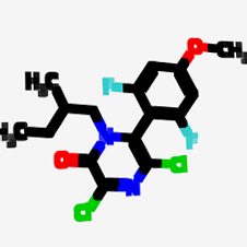 CCC(C)Cn1c(-c2c(F)cc(OC)cc2F)c(Cl)nc(Cl)c1=O